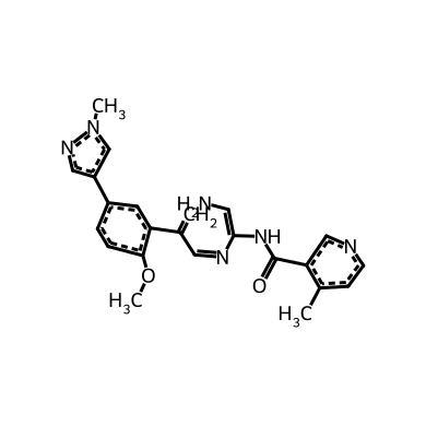 C=C(/C=N\C(=C/N)NC(=O)c1cnccc1C)c1cc(-c2cnn(C)c2)ccc1OC